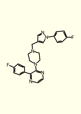 Fc1ccc(-c2nccnc2N2CCN(Cc3cnn(-c4ccc(F)cc4)c3)CC2)cc1